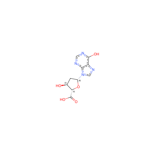 O=C(O)[C@H]1O[C@@H](n2cnc3c(O)ncnc32)C[C@@H]1O